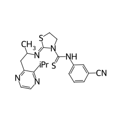 CC(Cc1nccnc1C(C)C)N=C1SCCN1C(=S)Nc1cccc(C#N)c1